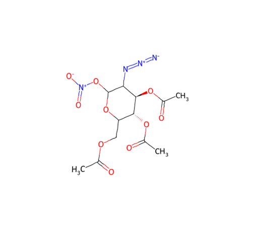 CC(=O)OCC1OC(O[N+](=O)[O-])C(N=[N+]=[N-])[C@@H](OC(C)=O)[C@@H]1OC(C)=O